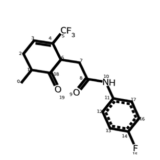 CC1CC=C(C(F)(F)F)C(CC(=O)Nc2ccc(F)cc2)C1=O